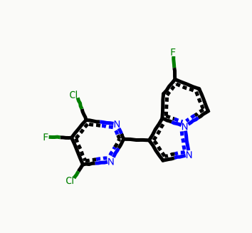 Fc1ccn2ncc(-c3nc(Cl)c(F)c(Cl)n3)c2c1